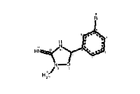 CN1OC(c2cccc(Br)c2)NC1=N